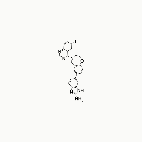 Nc1nc2ncc(-c3ccc4c(c3)CN(c3ncnc5ccc(I)cc35)CCO4)cc2[nH]1